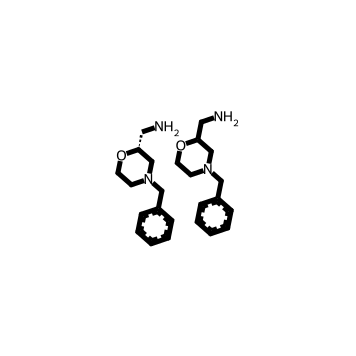 NCC1CN(Cc2ccccc2)CCO1.NC[C@@H]1CN(Cc2ccccc2)CCO1